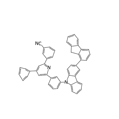 N#Cc1cccc(-c2cc(-c3ccccc3)cc(-c3cccc(-n4c5ccccc5c5cc(-c6cccc7c6Cc6ccccc6-7)ccc54)c3)n2)c1